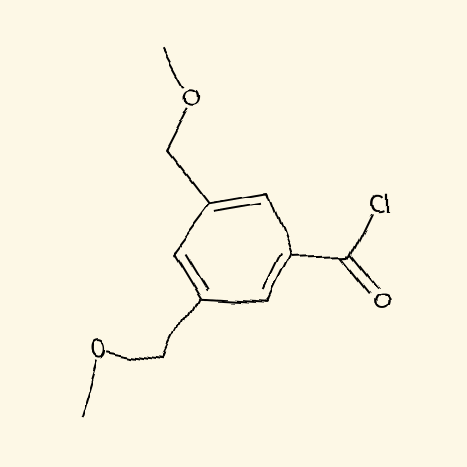 COCc1cc(COC)cc(C(=O)Cl)c1